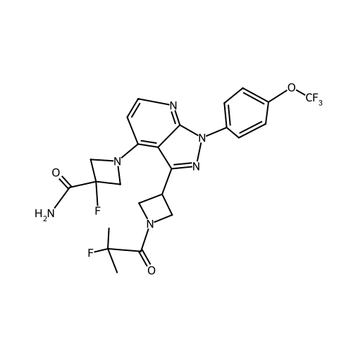 CC(C)(F)C(=O)N1CC(c2nn(-c3ccc(OC(F)(F)F)cc3)c3nccc(N4CC(F)(C(N)=O)C4)c23)C1